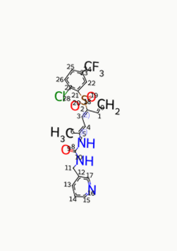 C=C/C(=C\C=C(/C)NC(=O)NCc1cccnc1)S(=O)(=O)c1cc(C(F)(F)F)ccc1Cl